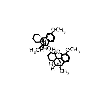 COc1ccc2c(c1)[C@]13CCCC[C@@H]1[C@H](C2)N(C)CC3.COc1ccc2c3c1O[C@H]1[C@@H](O)CC[C@H]4[C@@H](C2)N(C)CC[C@@]341